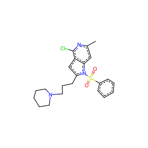 Cc1cc2c(cc(CCCN3CCCCC3)n2S(=O)(=O)c2ccccc2)c(Cl)n1